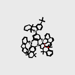 CC(C)(C)c1ccc2c(c1)C1(C)CCCCC1(C)N2c1cc2c3c(c1)N(c1cccc4c#cc5ccccc5c14)c1cc4c(cc1B3c1cc3c(cc1N2c1cccc2c1-c1ccccc1C2)C(C)(C)CCC3(C)C)C(C)(C)c1ccccc1C4(C)C